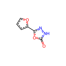 O=c1[nH]nc(-c2ccco2)o1